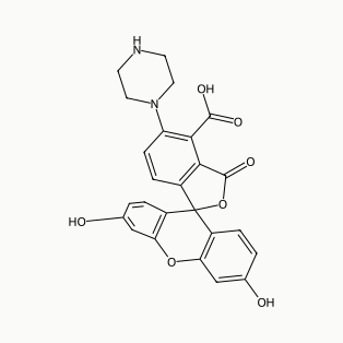 O=C(O)c1c(N2CCNCC2)ccc2c1C(=O)OC21c2ccc(O)cc2Oc2cc(O)ccc21